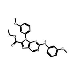 CCOC(=O)c1nc2cnc(Nc3cccc(OC)c3)nc2n1-c1cccc(OC)c1